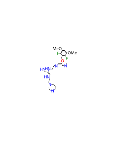 C\N=C/C(=C\N=C\CN/C(C=N)=C/NCCN1CCCN(C)CC1)OCc1c(F)c(OC)cc(OC)c1F